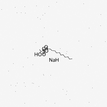 CCCCCCCCCCCC(=O)OS(=O)(=O)C(C)O.[NaH]